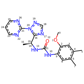 COc1cc(C)c(C)cc1NC(=O)N[C@@H](C)c1ncnn1-c1ncccn1